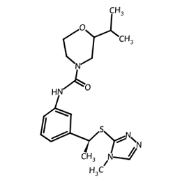 CC(C)C1CN(C(=O)Nc2cccc([C@H](C)Sc3nncn3C)c2)CCO1